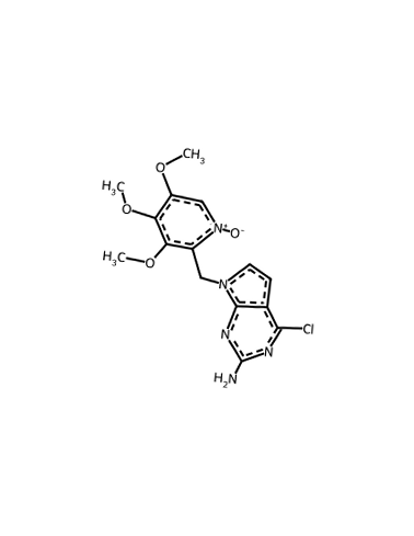 COc1c[n+]([O-])c(Cn2ccc3c(Cl)nc(N)nc32)c(OC)c1OC